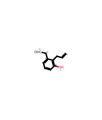 C=CCc1c(O)cccc1CC=O